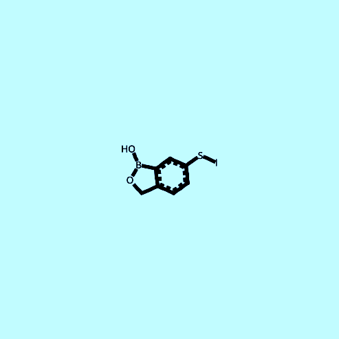 OB1OCc2ccc(SI)cc21